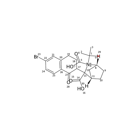 CC(C)(C)[N+]1(C(=O)O)[C@@H]2CC[C@@H](C2)C1(C(=O)O)C1CCc2cc(Br)ccc2C1=O